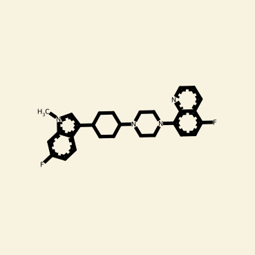 Cn1cc(C2CCC(N3CCN(c4ccc(F)c5cccnc45)CC3)CC2)c2ccc(F)cc21